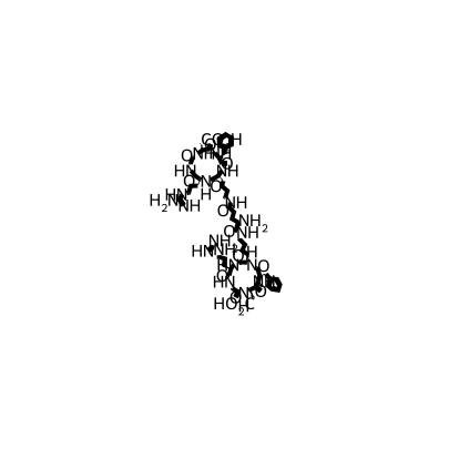 N=C(N)NCCC[C@H]1NC(=O)[C@@H](CCCCNC(=O)CCC(N)C(=O)NCCCC[C@H]2NC(=O)[C@H](Cc3ccccc3)NC(=O)[C@@H](CC(=O)O)NC(=O)CNC(=O)[C@@H](CCCNC(=N)N)NC2=O)NC(=O)[C@H](Cc2ccccc2)NC(=O)[C@@H](CC(=O)O)NC(=O)CNC1=O